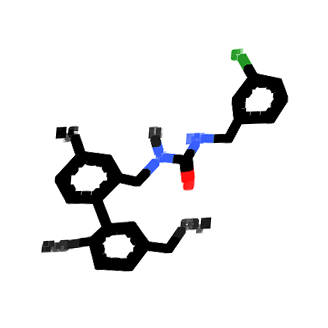 CCN(Cc1cc(C)ccc1-c1cc(CC(=O)O)ccc1OC)C(=O)NCc1cccc(Cl)c1